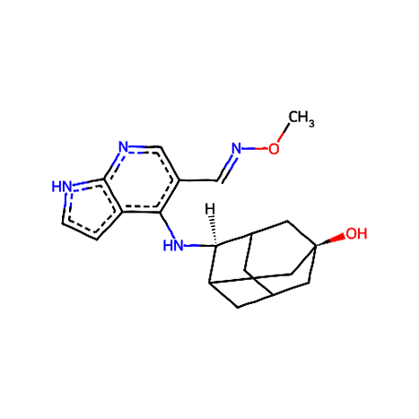 CON=Cc1cnc2[nH]ccc2c1N[C@H]1C2CC3CC1C[C@@](O)(C3)C2